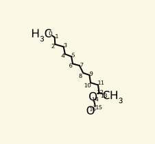 CCCCCCCCCCCCC(C)OC=O